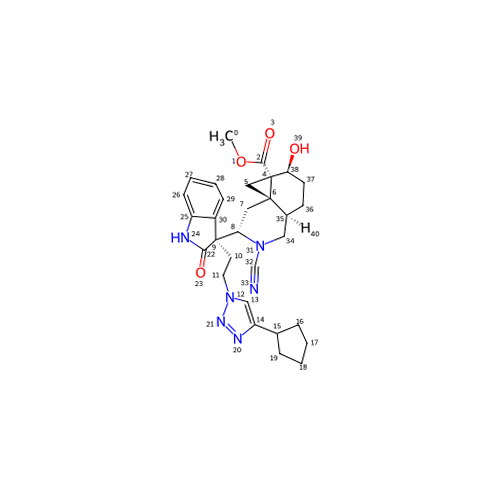 COC(=O)[C@@]12C[C@@]13C[C@@H]([C@@]1(CCn4cc(C5CCCC5)nn4)C(=O)Nc4ccccc41)N(C#N)C[C@@H]3CC[C@@H]2O